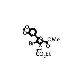 CCOC(=O)COc1c(C(=O)OC)sc(-c2ccc3c(c2)OCO3)c1Br